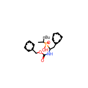 CCCCC(C)P(=O)(O)C(Cc1ccccc1)NC(=O)OCc1ccccc1